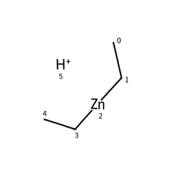 C[CH2][Zn][CH2]C.[H+]